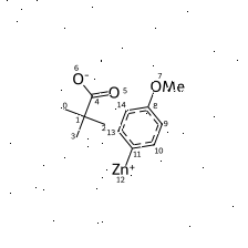 CC(C)(C)C(=O)[O-].COc1cc[c]([Zn+])cc1